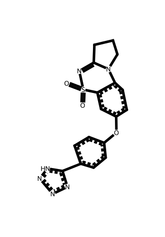 O=S1(=O)N=C2CCCN2c2ccc(Oc3ccc(-c4nnn[nH]4)cc3)cc21